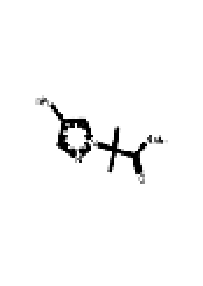 CCCc1cnn(C(C)(C)C(=O)NC)c1